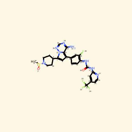 C[S+]([O-])N1CCC(c2cc(-c3ccc(NC(=O)Nc4cc(C(F)(F)F)ccn4)c(F)c3)c3c(N)ncnn23)CC1